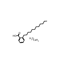 CCCCCCCCCCCCc1ccccc1C(=O)O.S.[CaH2]